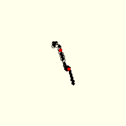 CCCCCCCCCc1ccc(OCCOOOOOOOO/C=C\OP(=O)(OC)OC)cc1